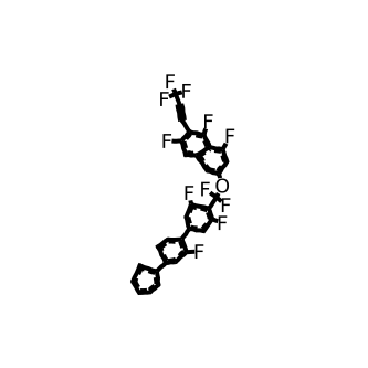 Fc1cc(-c2ccccc2)ccc1-c1cc(F)c(C(F)(F)Oc2cc(F)c3c(F)c(C#CC(F)(F)F)c(F)cc3c2)c(F)c1